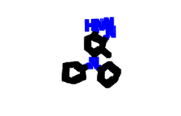 Cc1c(N(c2ccccc2)c2ccccc2)ccc2[nH]nnc12